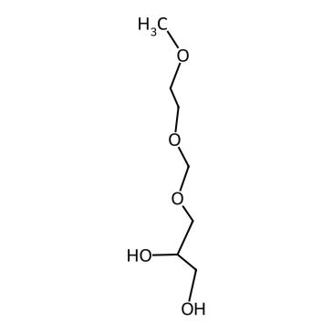 COCCOCOCC(O)CO